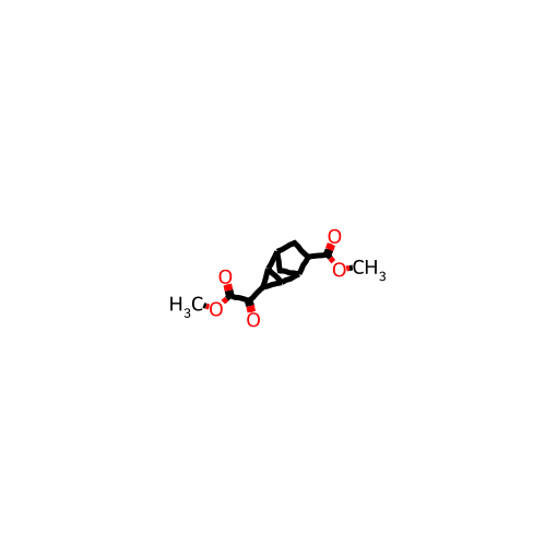 COC(=O)C(=O)C1C2C3CC(C(=O)OC)C(C3)C12